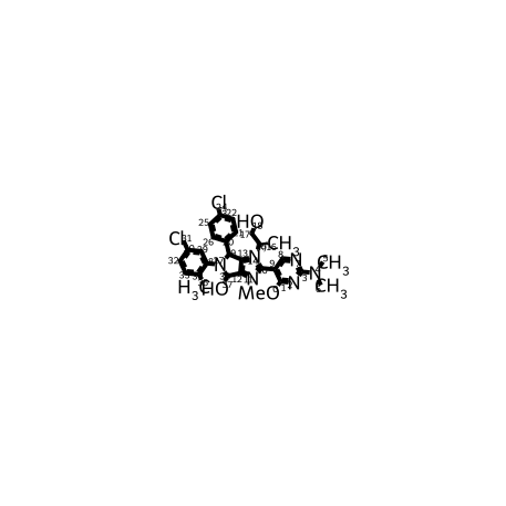 COc1nc(N(C)C)ncc1-c1nc2c(n1[C@H](C)CO)C(c1ccc(Cl)cc1)N(c1cc(Cl)ccc1C)C2O